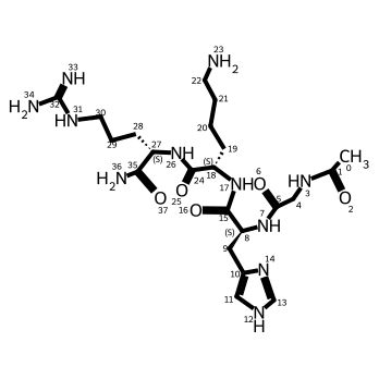 CC(=O)NCC(=O)N[C@@H](Cc1c[nH]cn1)C(=O)N[C@@H](CCCCN)C(=O)N[C@@H](CCCNC(=N)N)C(N)=O